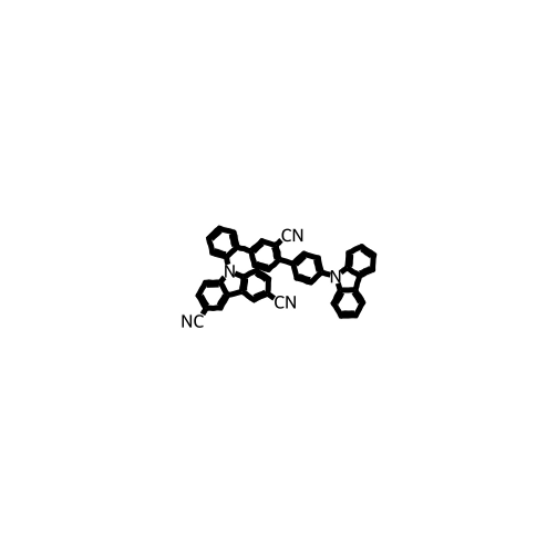 N#Cc1ccc2c(c1)c1cc(C#N)ccc1n2-c1ccccc1-c1ccc(-c2ccc(-n3c4ccccc4c4ccccc43)cc2)c(C#N)c1